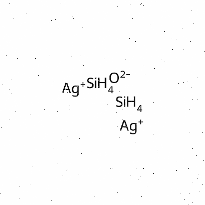 [Ag+].[Ag+].[O-2].[SiH4].[SiH4]